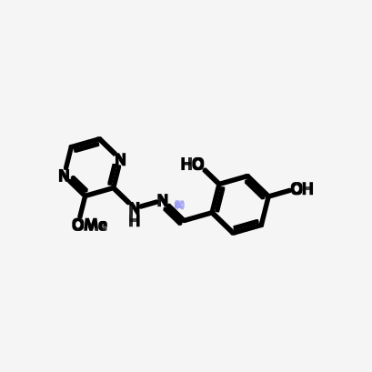 COc1nccnc1N/N=C/c1ccc(O)cc1O